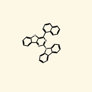 c1ccc2c(-c3nc(-n4c5ccccc5c5ccccc54)nc4c3sc3ccccc34)cccc2c1